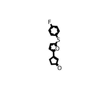 O=C1C=C(c2ccc(Sc3ccc(F)cc3)o2)CC1